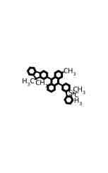 Cc1ccc2c(-c3ccc4c(c3)C(C)(C)c3ccccc3-4)c3ccccc3c(-c3ccc4c(c3)-c3ccccc3[Si]4(C)C)c2c1